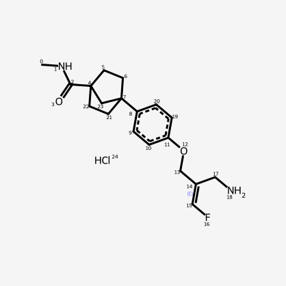 CNC(=O)C12CCC(c3ccc(OC/C(=C/F)CN)cc3)(CC1)C2.Cl